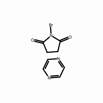 O=C1CCC(=O)N1Br.c1cnccn1